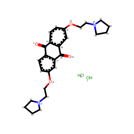 Cl.Cl.O=C1c2ccc(OCCN3CCCC3)cc2C(=O)c2cc(OCCN3CCCC3)ccc21